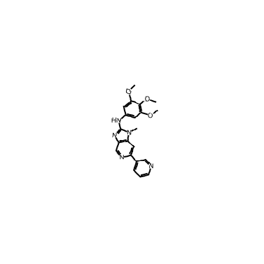 COc1cc(Nc2nc3cnc(-c4cccnc4)cc3n2C)cc(OC)c1OC